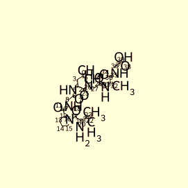 CC(C)C[C@H](NC(=O)CNC(=O)[C@@H]1CCCN1C(=O)[C@@H](N)C(C)C)C(=O)NCC(=O)N[C@@H](C)C(=O)NCC(=O)O